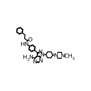 CN1CCN(C2CCC(n3nc(-c4ccc(NC(=O)CCc5ccccc5)cc4)c4c(N)ncnc43)CC2)CC1